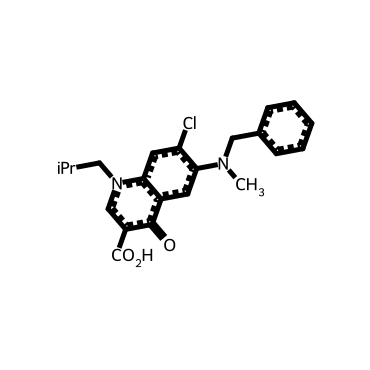 CC(C)Cn1cc(C(=O)O)c(=O)c2cc(N(C)Cc3ccccc3)c(Cl)cc21